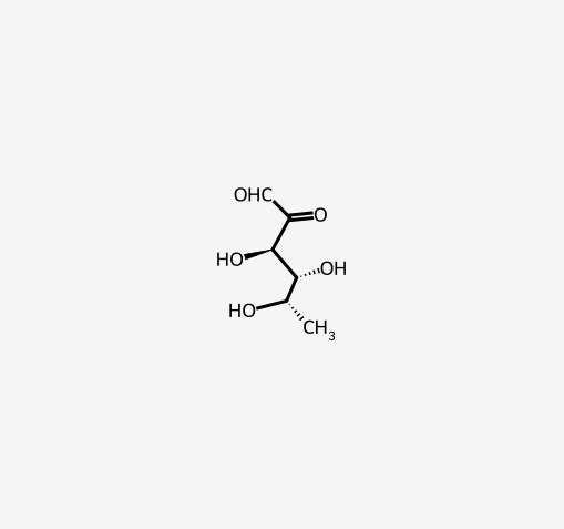 C[C@H](O)[C@@H](O)[C@@H](O)C(=O)C=O